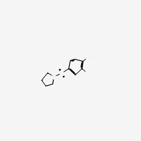 O=C(O)c1cc(S(=O)(=O)N2CCCC2)ccc1O